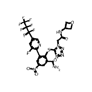 NC(=O)c1cc([N+](=O)[O-])cc(-c2ncc(C(F)(F)C(F)(F)C(F)(F)F)cc2F)c1Sc1nnnn1CC(=O)NC1COC1